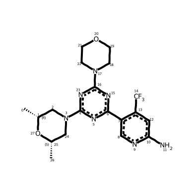 C[C@@H]1CN(c2nc(-c3cnc(N)cc3C(F)(F)F)nc(N3CCOCC3)n2)C[C@H](C)O1